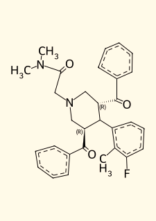 Cc1c(F)cccc1C1[C@@H](C(=O)c2ccccc2)CN(CC(=O)N(C)C)C[C@@H]1C(=O)c1ccccc1